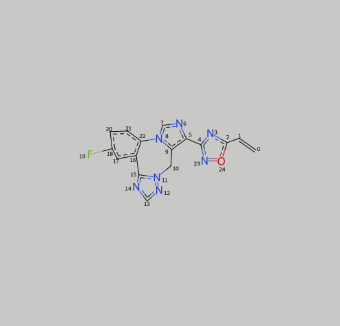 C=Cc1nc(-c2ncn3c2Cn2ncnc2-c2cc(F)ccc2-3)no1